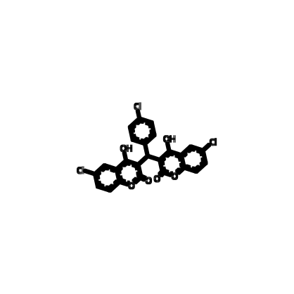 O=c1oc2ccc(Cl)cc2c(O)c1C(c1ccc(Cl)cc1)c1c(O)c2cc(Cl)ccc2oc1=O